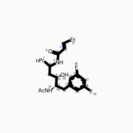 CC/C=C/C(=O)NC(CCC)C[C@H](O)[C@H](Cc1cc(F)cc(F)c1)NC(C)=O